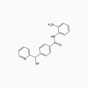 Nc1ccccc1NC(=O)c1ccc(C(S)c2ccccn2)cc1